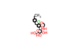 CCc1ccc(Cc2cc([C@@H]3O[C@H](CO)[C@@H](O)[C@H](O)[C@H]3O)c3c(c2Cl)OCCCO3)cc1